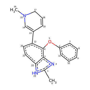 Cc1nc2c(Oc3ccccc3)c(C3=CN(C)CC=C3)ccc2[nH]1